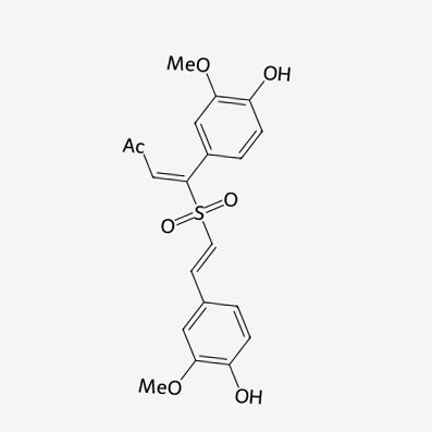 COc1cc(C=CS(=O)(=O)/C(=C/C(C)=O)c2ccc(O)c(OC)c2)ccc1O